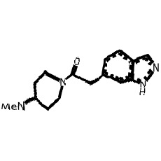 CNC1CCN(C(=O)Cc2ccc3cn[nH]c3c2)CC1